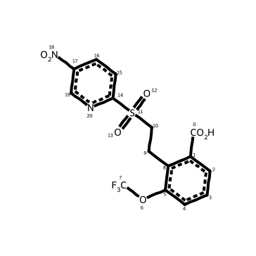 O=C(O)c1cccc(OC(F)(F)F)c1CCS(=O)(=O)c1ccc([N+](=O)[O-])cn1